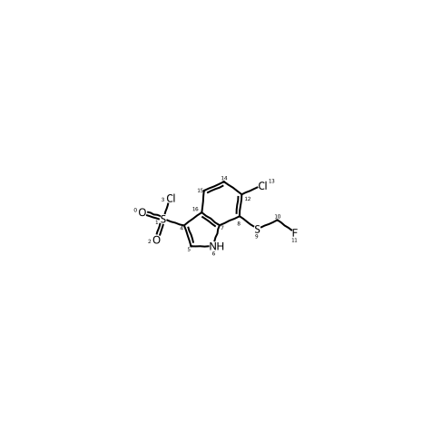 O=S(=O)(Cl)c1c[nH]c2c(SCF)c(Cl)ccc12